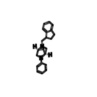 c1ccc(N2C[C@@H]3C[C@H]2CN3CC2CCc3ccccc32)cc1